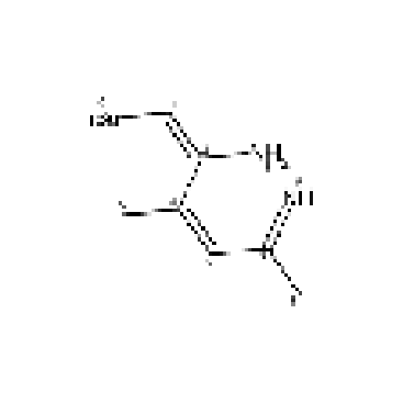 CCC(C)/C=C(N)\C(C)=C/C(C)=N